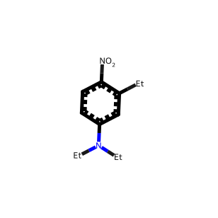 CCc1cc(N(CC)CC)ccc1[N+](=O)[O-]